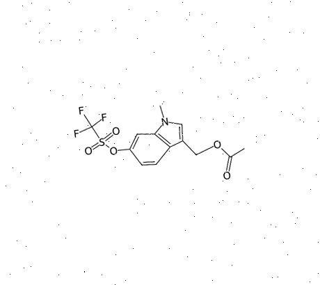 CC(=O)OCc1cn(C)c2cc(OS(=O)(=O)C(F)(F)F)ccc12